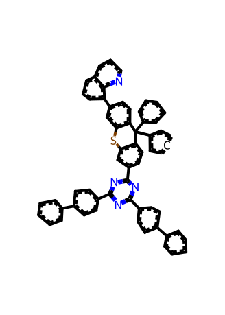 c1ccc(-c2ccc(-c3nc(-c4ccc(-c5ccccc5)cc4)nc(-c4ccc5c(c4)Sc4cc(-c6cccc7cccnc67)ccc4C5(c4ccccc4)c4ccccc4)n3)cc2)cc1